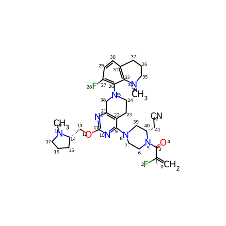 C=C(F)C(=O)N1CCN(c2nc(OC[C@@H]3CCCN3C)nc3c2CCN(c2c(F)ccc4c2N(C)CCC4)C3)C[C@@H]1CC#N